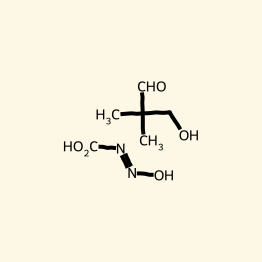 CC(C)(C=O)CO.O=C(O)N=NO